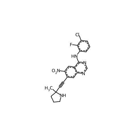 CC1(C#Cc2cc3ncnc(Nc4cccc(Cl)c4F)c3cc2[N+](=O)[O-])CCCN1